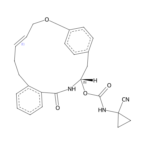 N#CC1(NC(=O)O[C@H]2Cc3ccc(cc3)OC/C=C/CCc3ccccc3C(=O)N2)CC1